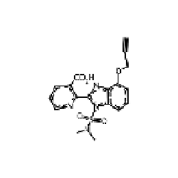 C#CCOc1cccc2c1nc(-c1ncccc1C(=O)O)n2S(=O)(=O)N(C)C